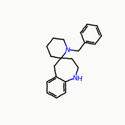 c1ccc(CN2CCCCC23CCNc2ccccc2C3)cc1